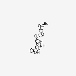 CC(C)(C)OC(=O)N1CCC2(CC1)CN(C(=O)N1CCN3c4cc(-c5ccccc5O)nnc4NC[C@H]3C1)CCO2